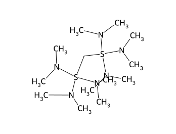 CN(C)S(CS(N(C)C)(N(C)C)N(C)C)(N(C)C)N(C)C